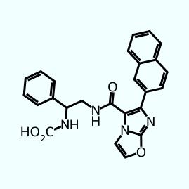 O=C(O)NC(CNC(=O)c1c(-c2ccc3ccccc3c2)nc2occn12)c1ccccc1